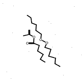 C=C(C)OC(=O)CCCCC.CCCCCCOOCCCCCC